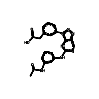 CC(=O)Nc1cccc(Nc2ncc3nnn(-c4cccc(CC(=O)O)c4)c3n2)c1